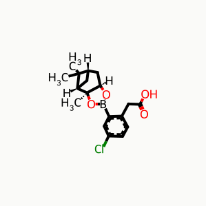 CC1(C)[C@@H]2C[C@H]3OB(c4cc(Cl)ccc4CC(=O)O)O[C@@]3(C)[C@H]1C2